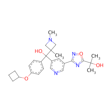 CN1CC(C)(C(O)(c2ccc(OC3CCC3)cc2)c2cncc(-c3noc(C(C)(C)O)n3)c2)C1